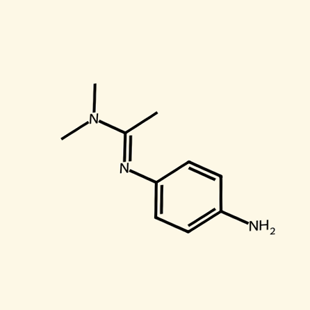 C/C(=N\c1ccc(N)cc1)N(C)C